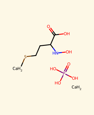 CSCCC(NO)C(=O)O.O=P(O)(O)O.[CaH2].[CaH2]